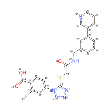 O=C(CSc1nnnn1-c1ccc(C(=O)O)c(F)c1)NCc1cccc(-c2cccnc2)c1